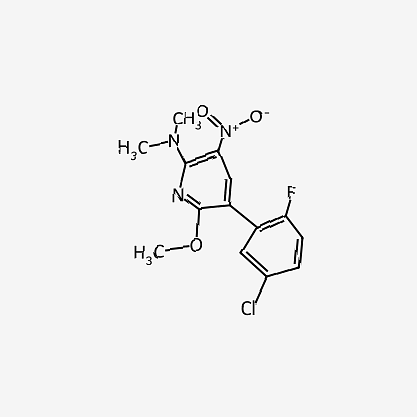 COc1nc(N(C)C)c([N+](=O)[O-])cc1-c1cc(Cl)ccc1F